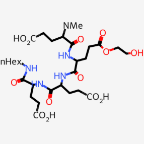 CCCCCCNC(=O)C(CCC(=O)O)NC(=O)C(CCC(=O)O)NC(=O)C(CCC(=O)OCCO)NC(=O)C(CCC(=O)O)NC